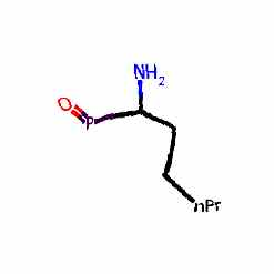 CCCCCC(N)P=O